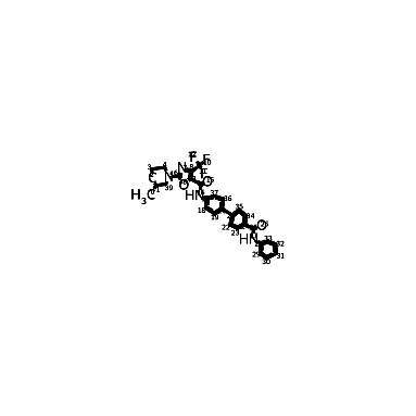 CC1CCCN(c2nc(C(F)(F)F)c(C(=O)Nc3ccc(-c4ccc(C(=O)Nc5ccccc5)cc4)cc3)o2)C1